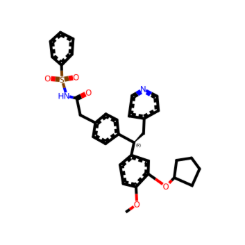 COc1ccc([C@H](Cc2ccncc2)c2ccc(CC(=O)NS(=O)(=O)c3ccccc3)cc2)cc1OC1CCCC1